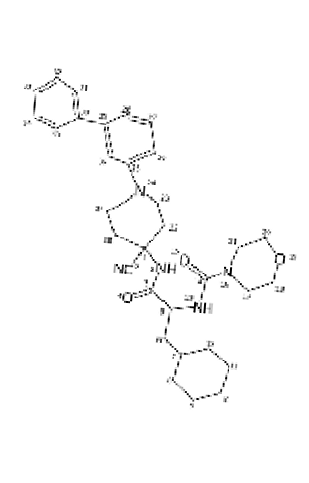 N#CC1(NC(=O)C(CC2CCCCC2)NC(=O)N2CCOCC2)CCN(c2cccc(-c3ccccc3)c2)CC1